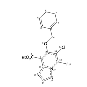 CCOC(=O)c1c(OCC2=CCCC=C2)c(Cl)c(I)n2ncnc12